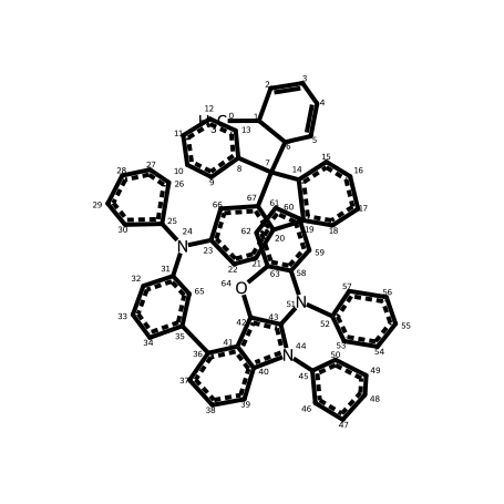 CC1C=CC=CC1C1(c2ccccc2)c2ccccc2-c2ccc(N(c3ccccc3)c3cccc(-c4cccc5c4c4c(n5-c5ccccc5)N(c5ccccc5)c5ccccc5O4)c3)cc21